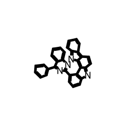 c1ccc(-c2nc(-c3cccc4c3-c3c5c(ccc3=N4)=c3ccccc3=N5)nc3ccccc23)cc1